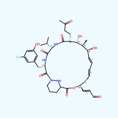 CC(=O)CC[C@H]1C(=O)N[C@@H](C(C)C)C(=O)N[C@@H](Cc2cc(O)cc(F)c2)C(=O)N2CCCC(N2)C(=O)O[C@H](/C=C/C=O)C/C=C/C=C/[C@H](O)[C@H](C)[C@H]1O